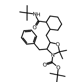 CC(C)(C)NC(=O)C1CCCCC1CC1OC(C)(C)N(C(=O)OC(C)(C)C)C1Cc1ccccc1